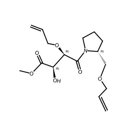 C=CCOC[C@H]1CCCN1C(=O)[C@H](OCC=C)[C@@H](O)C(=O)OC